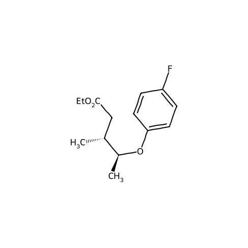 CCOC(=O)C[C@@H](C)[C@H](C)Oc1ccc(F)cc1